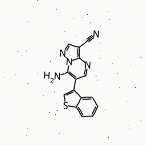 N#Cc1cnn2c(N)c(-c3csc4ccccc34)cnc12